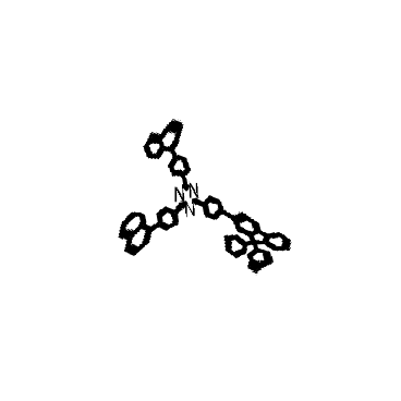 c1ccc(C2(c3ccccc3)c3ccccc3-c3ccc(-c4ccc(-c5nc(-c6ccc(-c7cccc8ccccc78)cc6)nc(-c6ccc(-c7cccc8ccccc78)cc6)n5)cc4)cc32)cc1